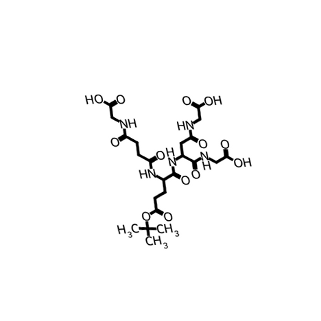 CC(C)(C)OC(=O)CCC(NC(=O)CCC(=O)NCC(=O)O)C(=O)NC(CC(=O)NCC(=O)O)C(=O)NCC(=O)O